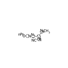 CCCOC1CCN(c2ccc(-c3cc(-c4cnn(C)c4)cn4ncc(C#N)c34)cn2)CC1